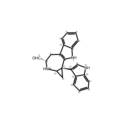 O=C[C@@H]1Cc2c([nH]c3ccccc23)[C@]2(c3c[nH]c4ccccc34)CC2N1